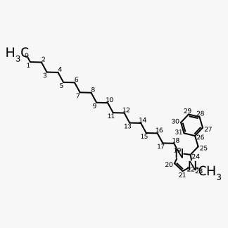 CCCCCCCCCCCCCCCCCCCN1C=CN(C)C1Cc1ccccc1